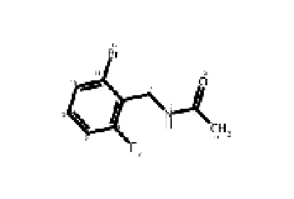 CC(=O)NCc1c(F)cccc1Br